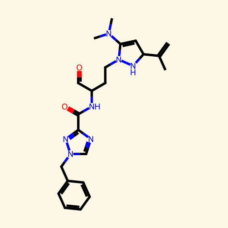 C=C(C)C1C=C(N(C)C)N(CCC(C=O)NC(=O)c2ncn(Cc3ccccc3)n2)N1